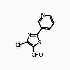 O=Cc1sc(-c2cccnc2)nc1Cl